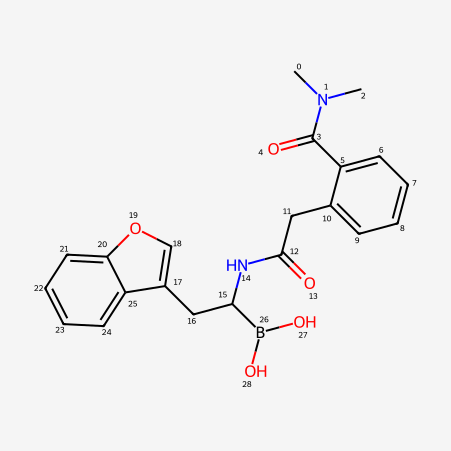 CN(C)C(=O)c1ccccc1CC(=O)NC(Cc1coc2ccccc12)B(O)O